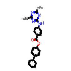 CCCCc1nc(CCCC)nc(Nc2ccc(C(=O)Oc3ccc(-c4ccccc4)cc3)cc2)n1